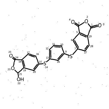 O=C1OC(=O)c2cc(Sc3cccc(Sc4ccc5c(c4)C(O)OC5=O)c3)ccc21